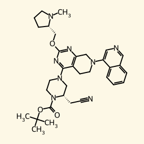 CN1CCC[C@H]1COc1nc2c(c(N3CCN(C(=O)OC(C)(C)C)[C@@H](CC#N)C3)n1)CCN(c1cncc3ccccc13)C2